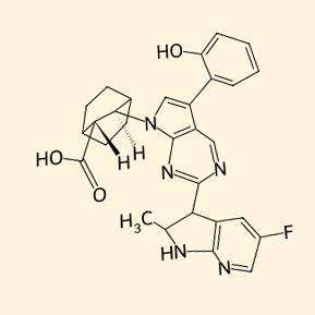 CC1Nc2ncc(F)cc2C1c1ncc2c(-c3ccccc3O)cn([C@@H]3C4CCC(CC4)[C@H]3C(=O)O)c2n1